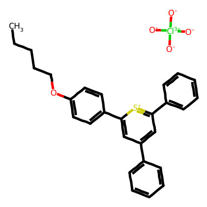 CCCCCOc1ccc(-c2cc(-c3ccccc3)cc(-c3ccccc3)[s+]2)cc1.[O-][Cl+3]([O-])([O-])[O-]